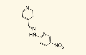 O=[N+]([O-])c1ccc(N/N=C/c2ccncc2)nc1